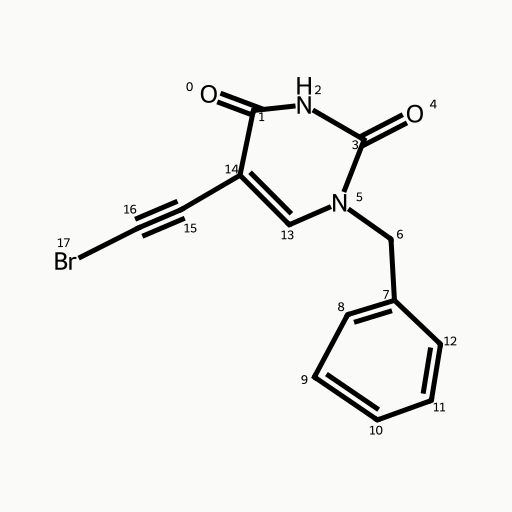 O=c1[nH]c(=O)n(Cc2ccccc2)cc1C#CBr